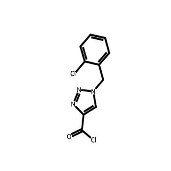 O=C(Cl)c1cn(Cc2ccccc2Cl)nn1